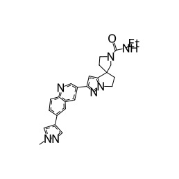 CCNC(=O)N1CCC2(CCn3nc(-c4cnc5ccc(-c6cnn(C)c6)cc5c4)cc32)C1